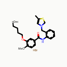 Br.CCCCCCCCCCCCCCOc1cc(C(=O)Nc2ccccc2CN2C=C(C)SC2)ccc1OC